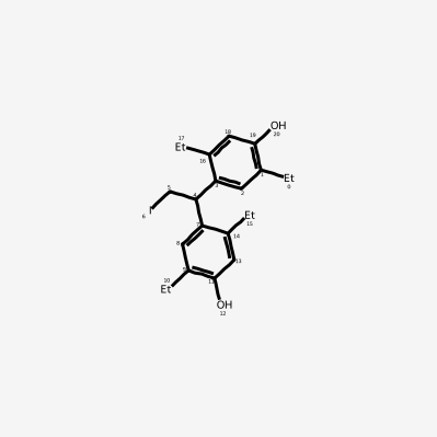 CCc1cc(C(CI)c2cc(CC)c(O)cc2CC)c(CC)cc1O